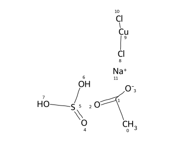 CC(=O)[O-].O=S(O)O.[Cl][Cu][Cl].[Na+]